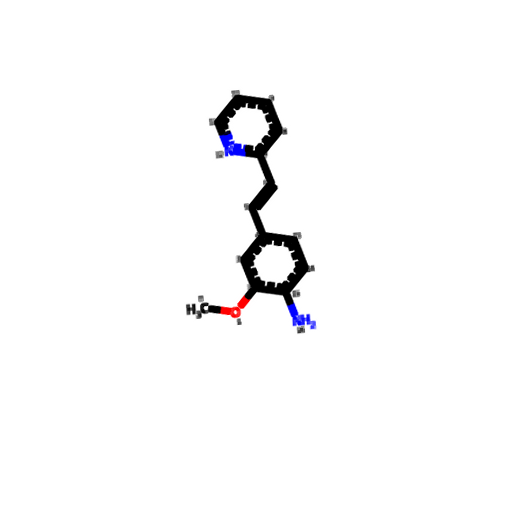 COc1cc(/C=C/c2ccccn2)ccc1N